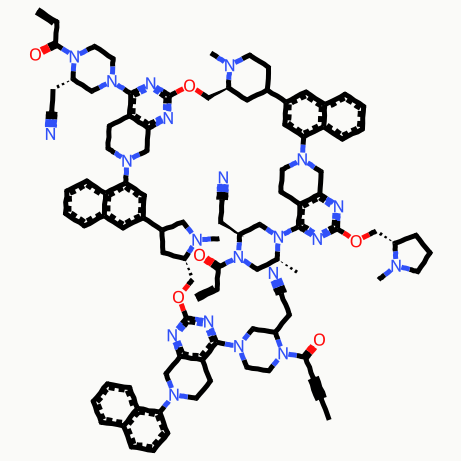 C=CC(=O)N1CCN(c2nc(OC[C@@H]3CC(c4cc(N5CCc6c(nc(OC[C@@H]7CCCN7C)nc6N6C[C@H](CC#N)N(C(=O)C=C)C[C@H]6C)C5)c5ccccc5c4)CCN3C)nc3c2CCN(c2cc(C4C[C@@H](COc5nc6c(c(N7CCN(C(=O)C#CC)C(CC#N)C7)n5)CCN(c5cccc7ccccc57)C6)N(C)C4)cc4ccccc24)C3)C[C@@H]1CC#N